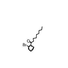 CCCCCCCCC(=O)c1ccccc1Br